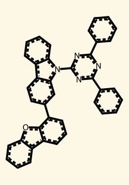 c1ccc(-c2nc(-c3ccccc3)nc(-n3c4ccccc4c4ccc(-c5cccc6c5oc5ccccc56)cc43)n2)cc1